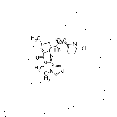 Cc1cc(C(C)Nc2ccc(Cl)nc2C(=O)O)c2nc(-c3cncn3C)n(C)c(=O)c2c1